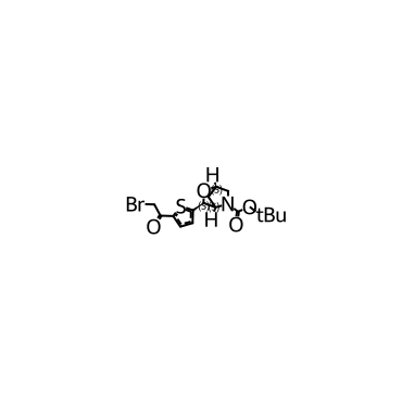 CC(C)(C)OC(=O)N1C[C@@H]2C[C@H]1[C@@H](c1ccc(C(=O)CBr)s1)O2